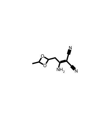 CC1OC(CC(N)=C(C#N)C#N)O1